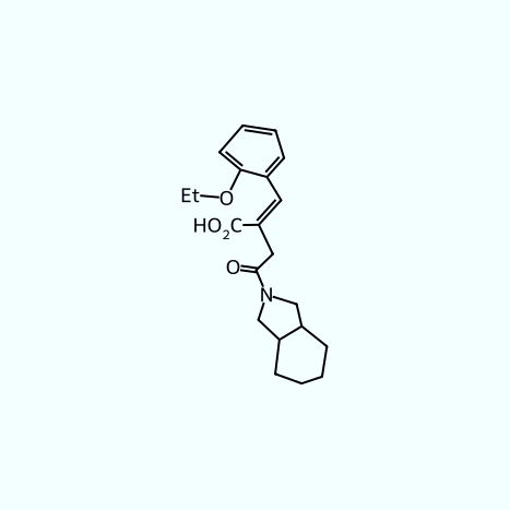 CCOc1ccccc1/C=C(/CC(=O)N1CC2CCCCC2C1)C(=O)O